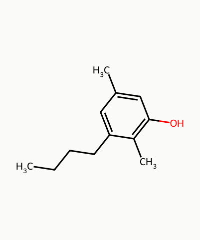 CCCCc1cc(C)cc(O)c1C